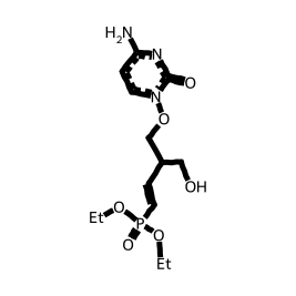 CCOP(=O)(/C=C/C(CO)COn1ccc(N)nc1=O)OCC